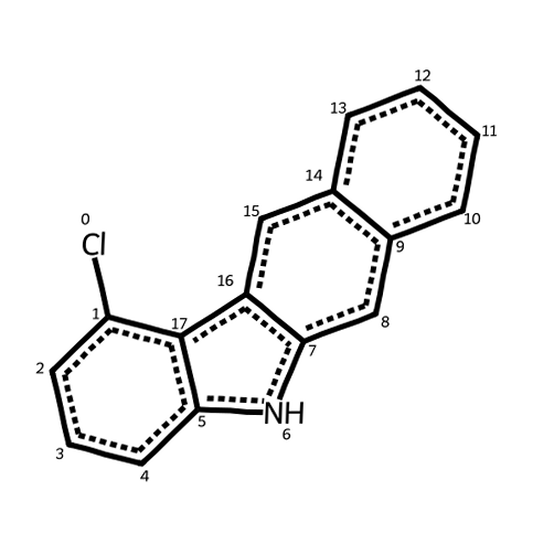 Clc1cccc2[nH]c3cc4ccccc4cc3c12